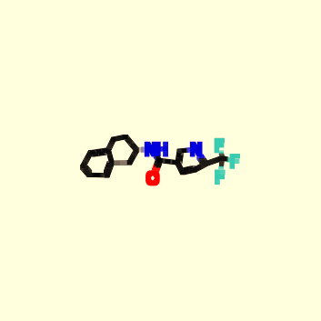 O=C(N[C@H]1CCc2ccccc2C1)c1ccc(C(F)(F)F)nc1